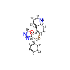 c1ccc(C(Sc2ccc3ncccc3c2)c2nnco2)cc1